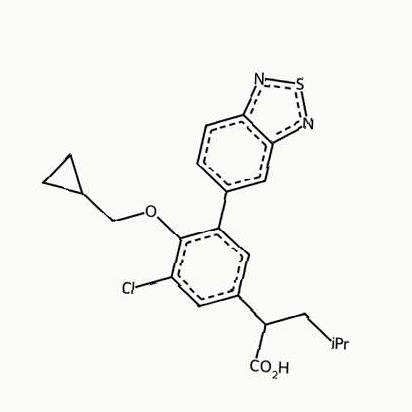 CC(C)CC(C(=O)O)c1cc(Cl)c(OCC2CC2)c(-c2ccc3nsnc3c2)c1